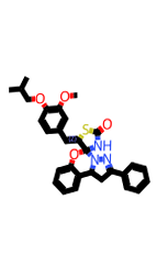 COc1cc(/C=C2\SC(=O)NC23Oc2ccccc2C2CC(c4ccccc4)=NN23)ccc1OCC(C)C